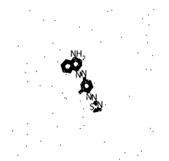 Cc1cc(/N=N/c2ccc(N)c3ccccc23)ccc1/N=N/c1nccs1